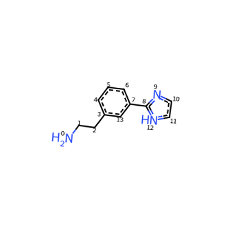 NCCc1cccc(-c2ncc[nH]2)c1